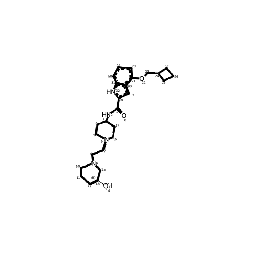 O=C(NC1CCN(CCN2CCC[C@@H](O)C2)CC1)c1cc2c(OCC3CCC3)cccc2[nH]1